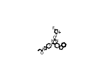 C=CC(=O)N1CC2(CCN(c3nc(OC[C@@H]4C[C@@H](F)CN4C)nc4c3CC[C@@]3(CCc5ccccc53)C4)CC2)C1